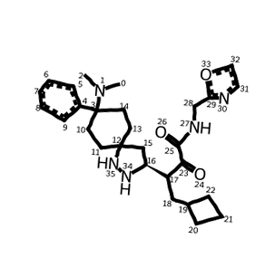 CN(C)C1(c2ccccc2)CCC2(CC1)C[C@@H](C(CC1CCC1)C(=O)C(=O)NCc1ncco1)NN2